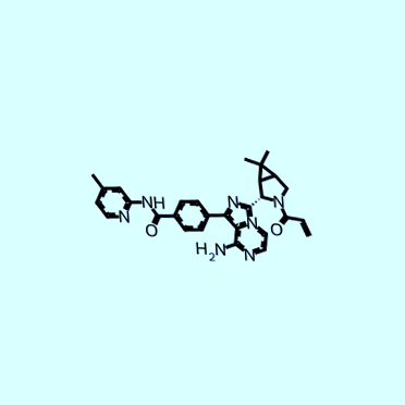 C=CC(=O)N1CC2C([C@H]1c1nc(-c3ccc(C(=O)Nc4cc(C)ccn4)cc3)c3c(N)nccn13)C2(C)C